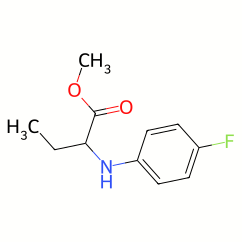 CCC(Nc1ccc(F)cc1)C(=O)OC